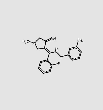 Cc1cccc(CN/C(=C2/CN(C)CC2=N)c2ccccc2F)c1